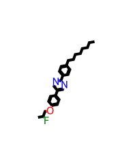 CCCCCCCCc1ccc(-c2ncc(-c3ccc(OCC(C)F)cc3)cn2)cc1